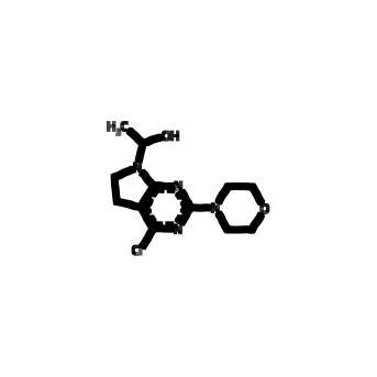 CC(O)N1CCc2c(Cl)nc(N3CCOCC3)nc21